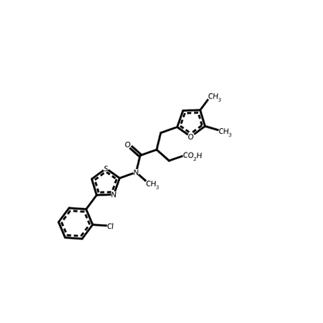 Cc1cc(CC(CC(=O)O)C(=O)N(C)c2nc(-c3ccccc3Cl)cs2)oc1C